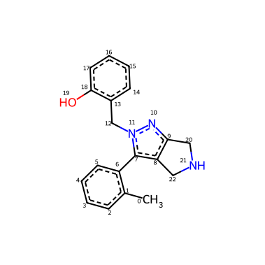 Cc1ccccc1-c1c2c(nn1Cc1ccccc1O)CNC2